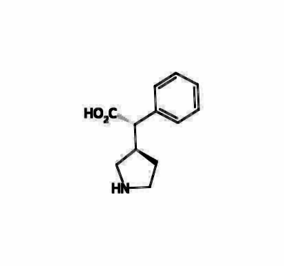 O=C(O)[C@H](c1ccccc1)[C@H]1CCNC1